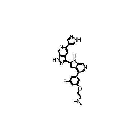 CN(C)CCOc1cc(F)cc(-c2cncc3[nH]c(-c4n[nH]c5cnc(-c6cn[nH]c6)cc45)cc23)c1